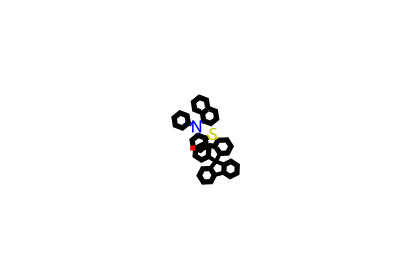 c1ccc(N(c2cccc3ccccc23)c2cccc3c2sc2cccc(C4(c5ccccc5)c5ccccc5-c5ccccc54)c23)cc1